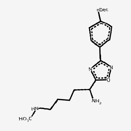 CCCCCCCCCCc1ccc(-c2noc(C(N)CCCCNC(=O)O)n2)cc1